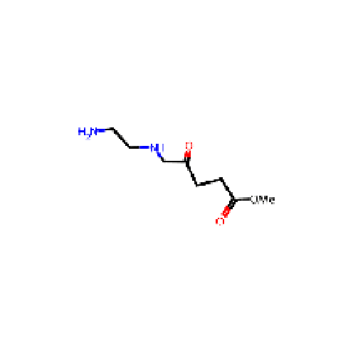 COC(=O)CCC(=O)CNCCN